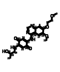 COCCOc1cc2ncnc(NC3=CC(=O)C(NCC(C)O)=CC3=O)c2cc1OC